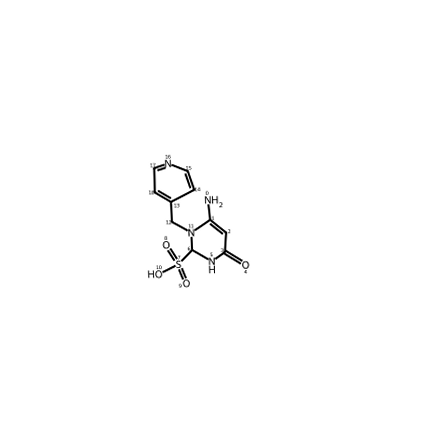 NC1=CC(=O)NC(S(=O)(=O)O)N1Cc1ccncc1